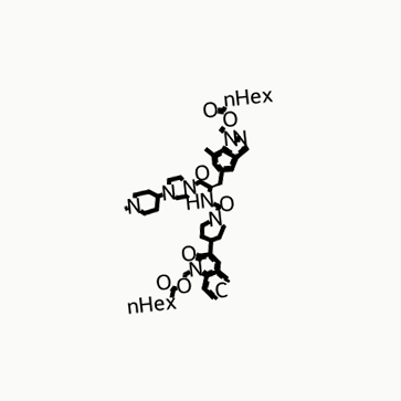 CCCCCCC(=O)OCn1ncc2cc(C[C@@H](NC(=O)N3CCC(c4cc5ccccc5n(COC(=O)CCCCCC)c4=O)CC3)C(=O)N3CCN(C4CCN(C)CC4)CC3)cc(C)c21